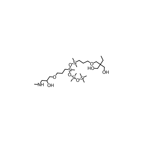 CCC(CO)(CO)COCCC[Si](C)(C)O[Si](C)(CCCOCC(O)CNC)O[Si](C)(C)O[Si](C)(C)C